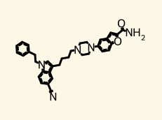 N#Cc1ccc2c(c1)c(CCCCN1CCN(c3ccc4oc(C(N)=O)cc4c3)CC1)cn2CCc1ccccc1